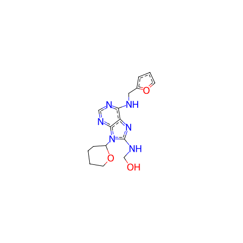 OCNc1nc2c(NCc3ccco3)ncnc2n1C1CCCCO1